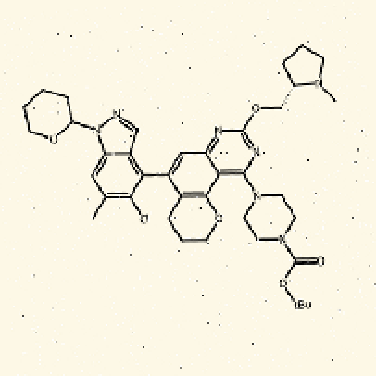 Cc1cc2c(cnn2C2CCCCO2)c(-c2cc3nc(OC[C@@H]4CCCN4C)nc(N4CCN(C(=O)OC(C)(C)C)CC4)c3c3c2CCCO3)c1Cl